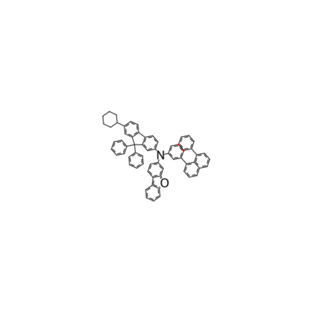 c1ccc(-c2cccc3cccc(-c4cccc(N(c5ccc6c(c5)C(c5ccccc5)(c5ccccc5)c5cc(C7CCCCC7)ccc5-6)c5ccc6c(c5)oc5ccccc56)c4)c23)cc1